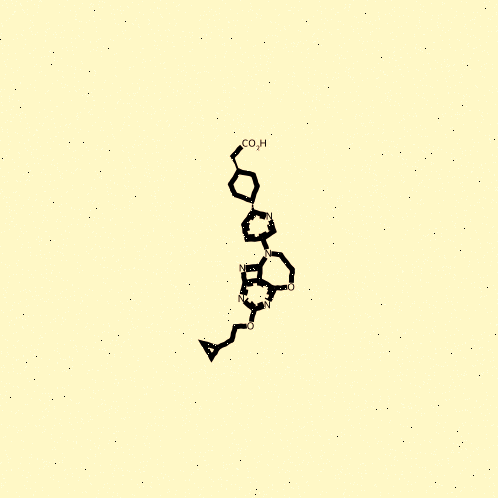 O=C(O)C[C@H]1CC[C@H](c2ccc(N3CCOc4nc(OCCC5CC5)nc5c4C3=N5)cn2)CC1